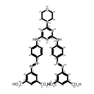 O=C(O)c1cc(N=Nc2ccc(Nc3nc(Nc4ccc(N=Nc5cc(C(=O)O)cc(C(=O)O)c5)cc4)nc(N4CCOCC4)n3)cc2)cc(C(=O)O)c1